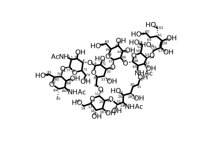 CC(=O)NC1C(O)[C@H](O[C@@H]2OC(CO[C@H]3OC(CO)[C@@H](O)C(O)C3O[C@H](O)C(NC(C)=O)C(O)[C@H](O)CCO)[C@@H](O)C(O[C@H]3OC(CO)[C@@H](O)C(O)C3O[C@@H]3OC(CO)[C@@H](O[C@H](O)/C(O)=C(/O)[C@@H](CO)CCO)C(O)C3NC(C)=O)C2O)C(CO)O[C@H]1O[C@@H]1C(CO)O[C@@H](C)C(NC(C)=O)C1O